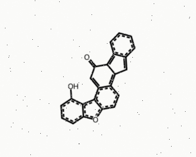 O=C1C=c2c(ccc3oc4cccc(O)c4c23)=C2C=c3ccccc3=C12